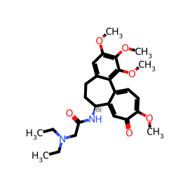 CCN(CC)CC(=O)N[C@H]1CCc2cc(OC)c(OC)c(OC)c2-c2ccc(OC)c(=O)cc21